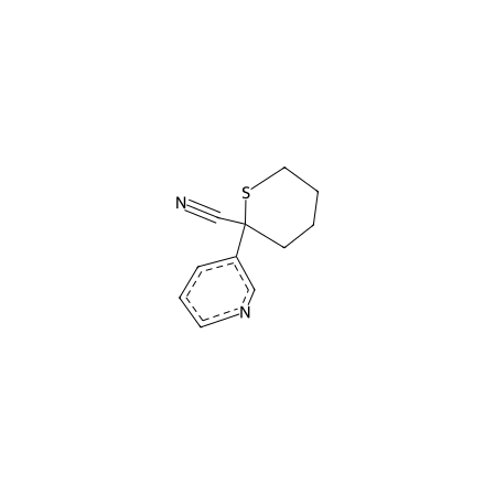 N#CC1(c2cccnc2)CCCCS1